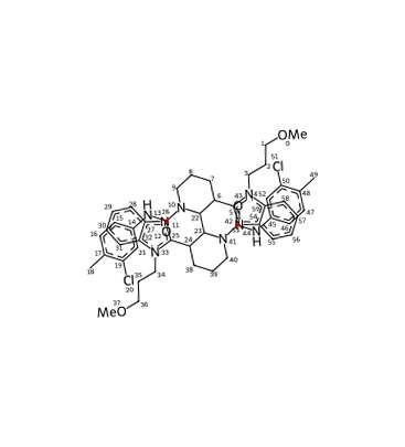 COCCCn1c(C2CCCN(C(=O)Nc3ccc(C)c(Cl)c3)C2C2C(c3nc4ccccc4n3CCCOC)CCCN2C(=O)Nc2ccc(C)c(Cl)c2)nc2ccccc21